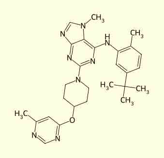 Cc1cc(OC2CCN(c3nc(Nc4cc(C(C)(C)C)ccc4C)c4c(ncn4C)n3)CC2)ncn1